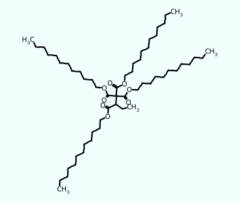 CCCCCCCCCCCCOC(=O)C(CC)C(C(=O)OCCCCCCCCCCCC)(C(=O)OCCCCCCCCCCCC)C(=O)OCCCCCCCCCCCC